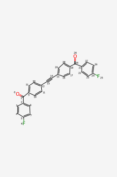 O=C(c1ccc(F)cc1)c1ccc(C#Cc2ccc(C(=O)c3ccc(F)cc3)cc2)cc1